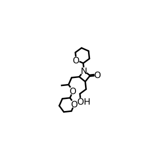 CC(CC1C(CCO)C(=O)N1C1CCCCO1)OC1CCCCO1